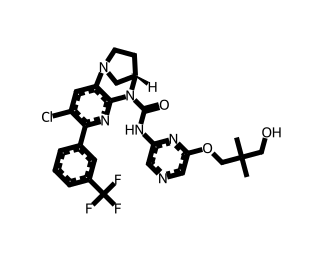 CC(C)(CO)COc1cncc(NC(=O)N2c3nc(-c4cccc(C(F)(F)F)c4)c(Cl)cc3N3CC[C@H]2C3)n1